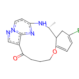 C[C@H]1Nc2ccn3ncc(c3n2)C(=O)CCCOC2=CC=C(F)CC21